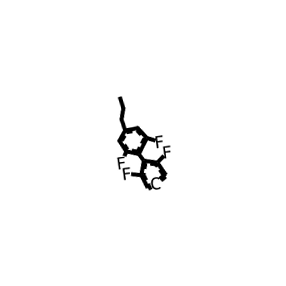 CCCc1cc(F)c(-c2c(F)cccc2F)c(F)c1